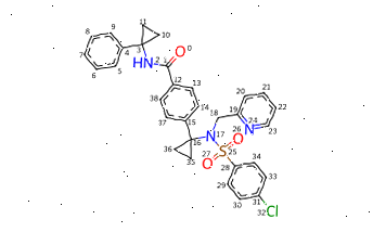 O=C(NC1(c2ccccc2)CC1)c1ccc(C2(N(Cc3ccccn3)S(=O)(=O)c3ccc(Cl)cc3)CC2)cc1